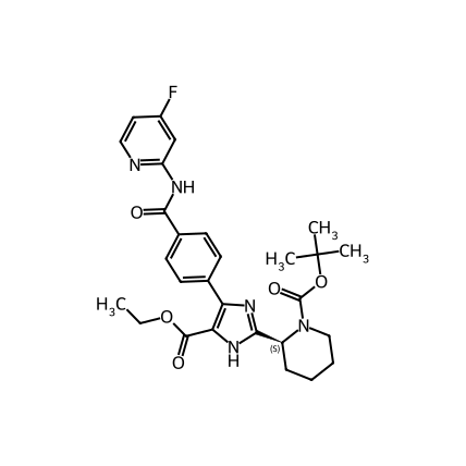 CCOC(=O)c1[nH]c([C@@H]2CCCCN2C(=O)OC(C)(C)C)nc1-c1ccc(C(=O)Nc2cc(F)ccn2)cc1